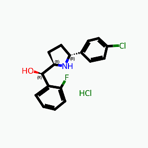 Cl.O[C@H](c1ccccc1F)[C@H]1CC[C@H](c2ccc(Cl)cc2)N1